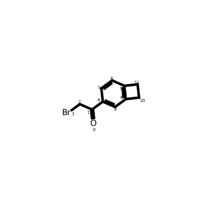 O=C(CBr)c1ccc2c(c1)CC2